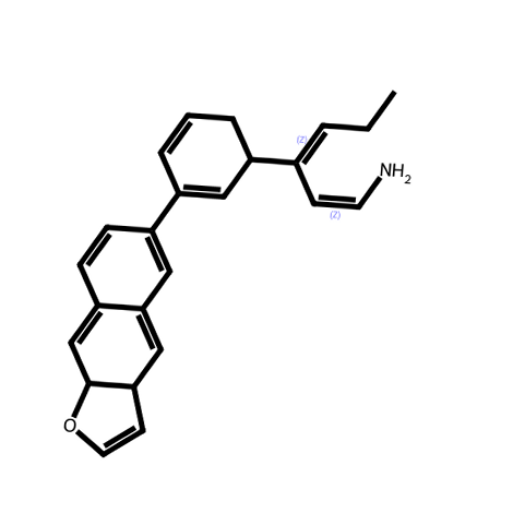 CC/C=C(\C=C/N)C1C=C(c2ccc3c(c2)=CC2C=COC2C=3)C=CC1